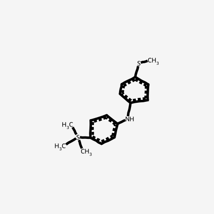 CSc1ccc(Nc2ccc(S(C)(C)C)cc2)cc1